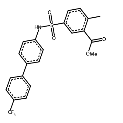 COC(=O)c1cc(S(=O)(=O)Nc2ccc(-c3ccc(C(F)(F)F)cc3)cc2)ccc1C